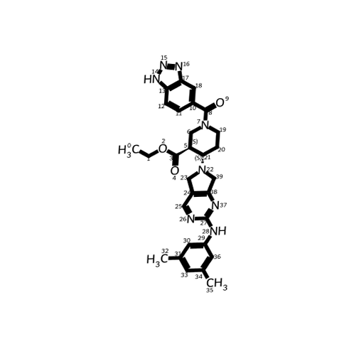 CCOC(=O)[C@H]1CN(C(=O)c2ccc3[nH]nnc3c2)CC[C@@H]1N1Cc2cnc(Nc3cc(C)cc(C)c3)nc2C1